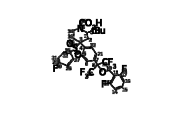 CC(C)(C)C1CC(c2ccc(C(OCc3c(F)cccc3F)(C(F)(F)F)C(F)(F)F)cc2)(S(=O)(=O)c2ccc(F)cc2)CCN1C(=O)O